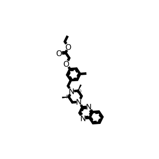 CCOC(=O)COc1cc(C)cc(CN2[C@H](C)CN(c3cnc4ccccc4n3)C[C@@H]2C)c1